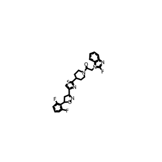 O=C(Cn1c(F)nc2ccccc21)N1CCC(c2nc(C3=NOC(c4c(F)cccc4F)C3)cs2)CC1